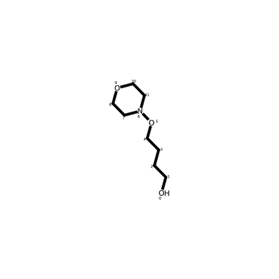 OCCCCON1CCOCC1